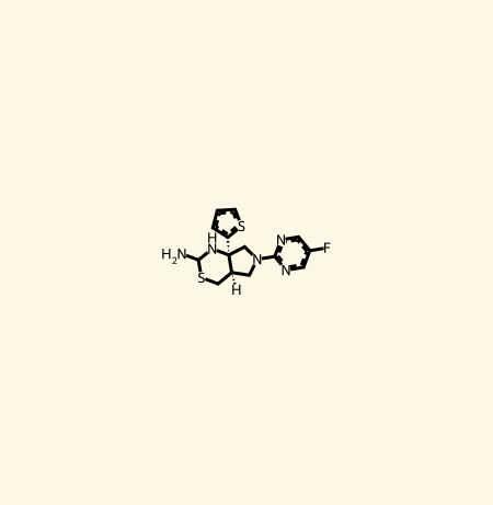 NC1N[C@@]2(c3cccs3)CN(c3ncc(F)cn3)C[C@H]2CS1